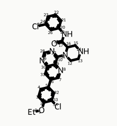 CCOc1ccc(-c2cnc3c(N4CCNCC4C(=O)Nc4cccc(Cl)c4)ncnc3c2)cc1Cl